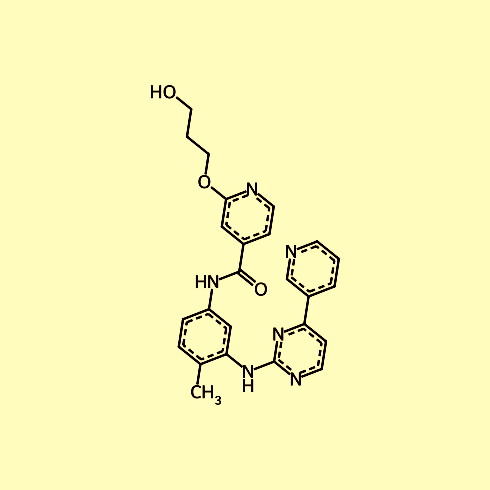 Cc1ccc(NC(=O)c2ccnc(OCCCO)c2)cc1Nc1nccc(-c2cccnc2)n1